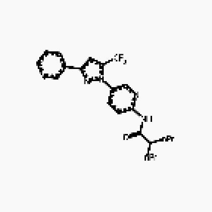 CCCC(CCC)C(=O)Nc1ccc(-n2nc(-c3cccnc3)cc2C(F)(F)F)cn1